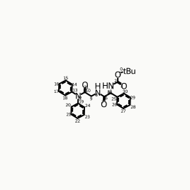 CC(C)(C)OC(=O)N[C@@H](C(=O)NCC(=O)N(c1ccccc1)c1ccccc1)c1ccccc1